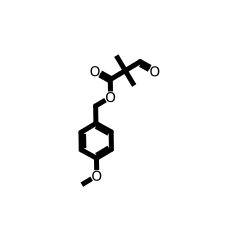 COc1ccc(COC(=O)C(C)(C)C=O)cc1